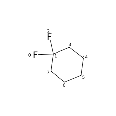 FC1(F)C[CH]CCC1